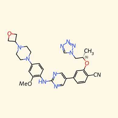 COc1cc(N2CCN(C3COC3)CC2)ccc1Nc1ncc(-c2ccc(C#N)c(O[C@@H](C)Cn3cnnn3)c2)cn1